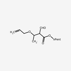 [CH2]C(OCC=C)C(C=O)C(=O)OCCCCC